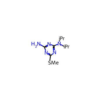 CSc1nc(N)nc(N(C(C)C)C(C)C)n1